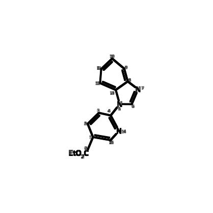 CCOC(=O)c1ccc(-n2cnc3ccccc32)nc1